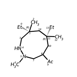 CC[C@@]1(C)CNN(C)CC(C(C)=O)C[C@@](C)(CC)C1